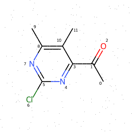 CC(=O)c1nc(Cl)nc(C)c1C